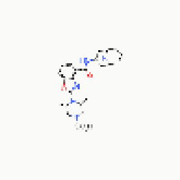 CC1CN(C(=O)O)CC(C)N1c1nc2c(C(=O)NC3CC4CCCC(C3)N4C)cccc2o1